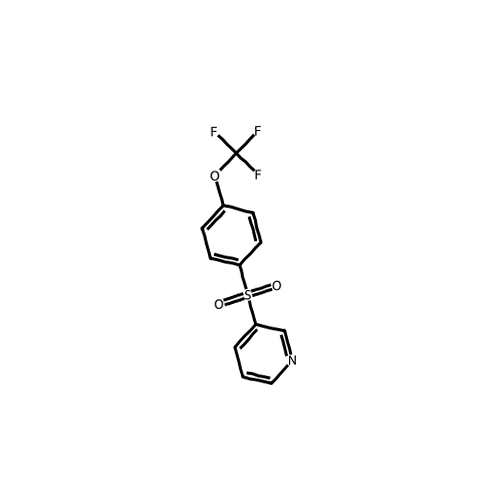 O=S(=O)(c1ccc(OC(F)(F)F)cc1)c1cccnc1